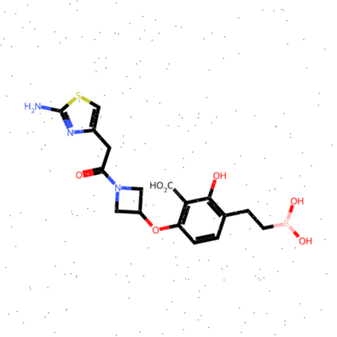 Nc1nc(CC(=O)N2CC(Oc3ccc(CCB(O)O)c(O)c3C(=O)O)C2)cs1